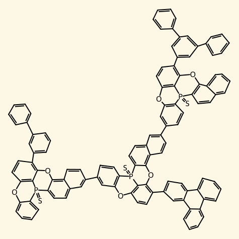 S=P12c3ccc(-c4ccc5c6c(ccc5c4)P4(=S)c5ccc(-c7ccc8c9c(ccc8c7)P7(=S)c8ccccc8Oc8ccc(-c%10cccc(-c%11ccccc%11)c%10)c(c87)O9)cc5Oc5ccc(-c7ccc8c9ccccc9c9ccccc9c8c7)c(c54)O6)cc3Oc3ccc(-c4cc(-c5ccccc5)cc(-c5ccccc5)c4)c(c31)Oc1c2ccc2ccccc12